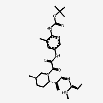 C=C(/C=N\C(=C/C)NC)[C@@H]1CC[C@@H](C)CN1C(=O)C(=O)Nc1cnc(NC(=O)OC(C)(C)C)c(C)c1